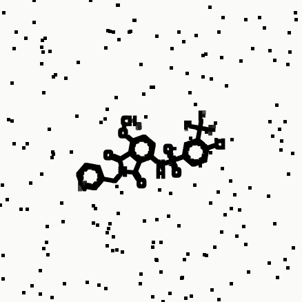 COc1ccc(NS(=O)(=O)c2ccc(Cl)c(C(F)(F)F)c2)c2c1C(=O)N(Cc1cccnc1)C2=O